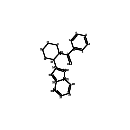 O=C(c1ccccc1)N1CCCCC1c1cc2ncccn2n1